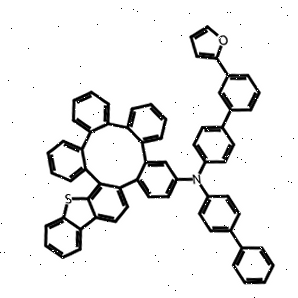 c1ccc(-c2ccc(N(c3ccc(-c4cccc(-c5ccco5)c4)cc3)c3ccc4c(c3)c3ccccc3c3ccccc3c3ccccc3c3c4ccc4c5ccccc5sc43)cc2)cc1